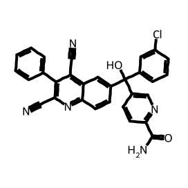 N#Cc1nc2ccc(C(O)(c3ccc(C(N)=O)nc3)c3cccc(Cl)c3)cc2c(C#N)c1-c1ccccc1